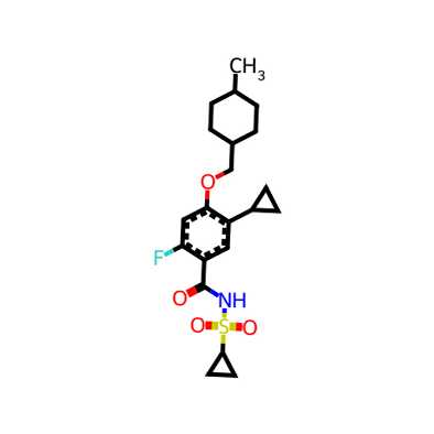 CC1CCC(COc2cc(F)c(C(=O)NS(=O)(=O)C3CC3)cc2C2CC2)CC1